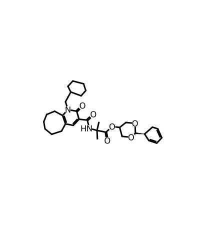 CC(C)(NC(=O)c1cc2c(n(CC3CCCCC3)c1=O)CCCCCC2)C(=O)OC1COC([C@@H]2C=CC=CC2)OC1